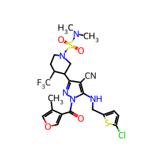 Cc1cocc1C(=O)n1nc(C2CN(S(=O)(=O)N(C)C)CCC2C(F)(F)F)c(C#N)c1NCc1ccc(Cl)s1